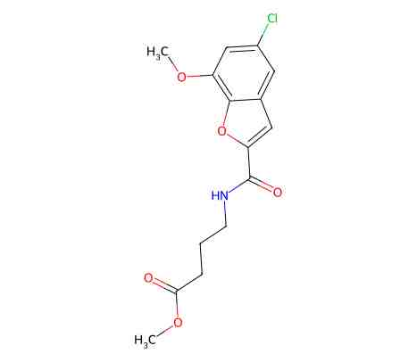 COC(=O)CCCNC(=O)c1cc2cc(Cl)cc(OC)c2o1